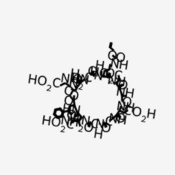 C=CCOC(=O)NCCCC1NC(=O)CNC(=O)C(NC(=O)C(N)CC(=O)O)C(C)OC(=O)C(CC(=O)c2ccccc2N)NC(=O)C(C(C)CC(=O)O)NC(=O)CNC(=O)CNC(=O)C(CC(=O)O)NC(=O)C(C)NC(=O)C(CC(=O)O)NC1=O